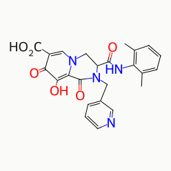 Cc1cccc(C)c1NC(=O)C1Cn2cc(C(=O)O)c(=O)c(O)c2C(=O)N1Cc1cccnc1